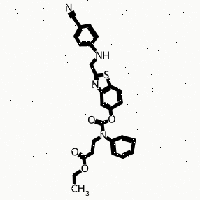 CCOC(=O)CCN(C(=O)Oc1ccc2sc(CNc3ccc(C#N)cc3)nc2c1)c1ccccc1